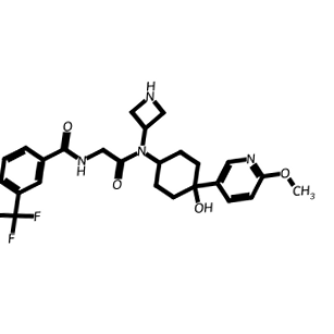 COc1ccc(C2(O)CCC(N(C(=O)CNC(=O)c3cccc(C(F)(F)F)c3)C3CNC3)CC2)cn1